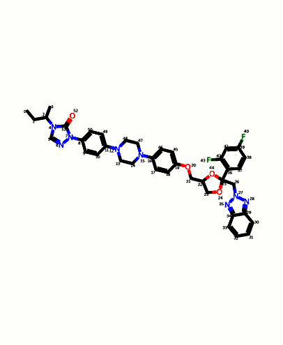 CCC(C)n1cnn(-c2ccc(N3CCN(c4ccc(OCC5COC(Cn6nc7ccccc7n6)(c6ccc(F)cc6F)O5)cc4)CC3)cc2)c1=O